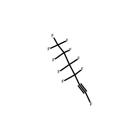 FC#CC(F)(F)C(F)(F)C(F)(F)C(F)(F)F